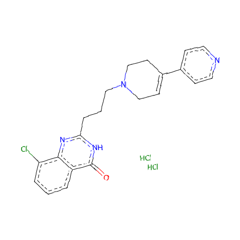 Cl.Cl.O=c1[nH]c(CCCN2CC=C(c3ccncc3)CC2)nc2c(Cl)cccc12